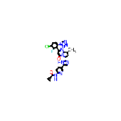 C[C@@H]1C[C@H](c2ncc(-c3ccc(NC(=O)C4CC4)nc3)[nH]2)n2c1nc(-c1c(-n3cnnn3)ccc(Cl)c1F)cc2=O